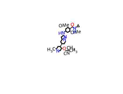 COc1cc(Nc2cc3cc(-c4cc(C)ncc4OCC(C)(C)C#N)ccn3n2)cc(OC)c1C(=O)NC1CC1